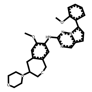 COc1cc2c(cc1Nc1ncc3ccc(-c4ccccc4OC)n3n1)CCCC(N1CCOCC1)C2